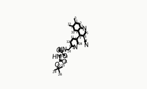 Cc1cc2ncc(C#N)c(-c3ccc(CNS(=O)(=O)NC(=O)OC(C)(C)C)nc3)c2cc1C